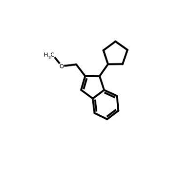 COCC1=Cc2ccccc2C1C1CCCC1